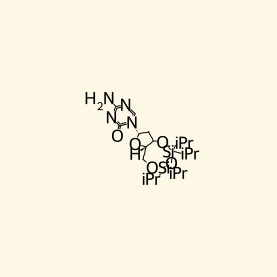 CC(C)[Si]1(C(C)C)OC[C@@H]2O[C@H](n3cnc(N)nc3=O)CC2O[Si](C(C)C)(C(C)C)O1